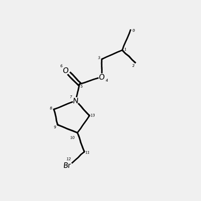 CC(C)COC(=O)N1CCC(CBr)C1